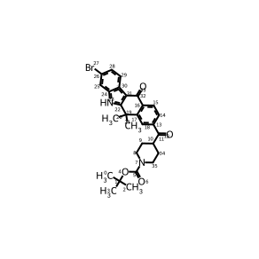 CC(C)(C)OC(=O)N1CCC(C(=O)c2ccc3c(c2)C(C)(C)c2[nH]c4cc(Br)ccc4c2C3=O)CC1